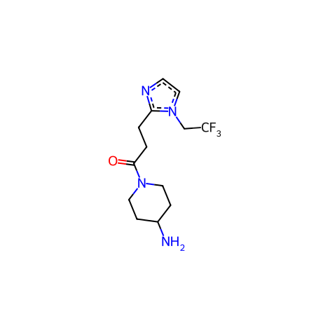 NC1CCN(C(=O)CCc2nccn2CC(F)(F)F)CC1